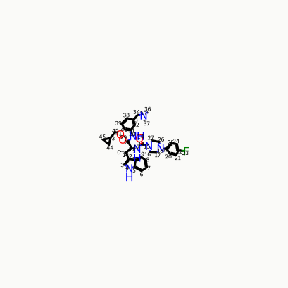 C[C@@H](c1c[nH]c2ccccc12)[C@@H](NC(=O)N1CCN(c2ccc(F)cc2)CC1)C(=O)Nc1cc(CN(C)C)ccc1OCC1CC1